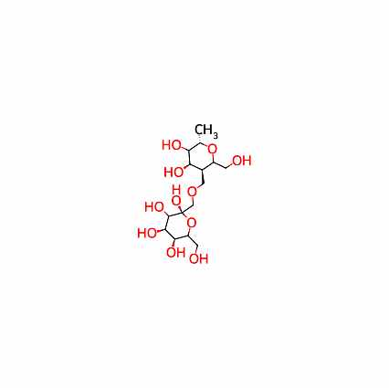 C[C@@H]1OC(CO)[C@@H](COC[C@]2(O)OC(CO)[C@@H](O)[C@@H](O)C2O)[C@@H](O)C1O